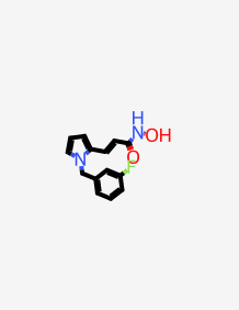 O=C(C=Cc1cccn1Cc1cccc(F)c1)NO